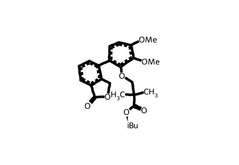 CC[C@@H](C)OC(=O)C(C)(C)COc1c(-c2cccc3c2COC3=O)ccc(OC)c1OC